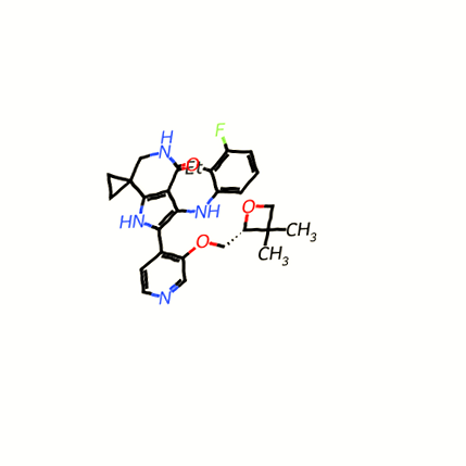 CCc1c(F)cccc1Nc1c(-c2ccncc2OC[C@@H]2OCC2(C)C)[nH]c2c1C(=O)NCC21CC1